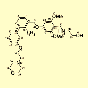 COc1cc(OCc2cccc(-c3cccc(OCCN4CCOCC4)c3)c2C)cc(OC)c1CNCCO